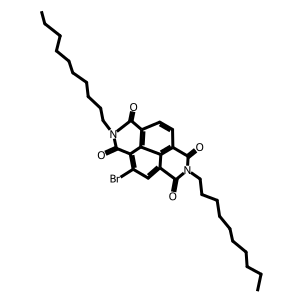 CCCCCCCCCCN1C(=O)c2ccc3c4c(c(Br)cc(c24)C1=O)C(=O)N(CCCCCCCCCC)C3=O